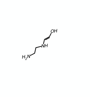 NCCNC=CO